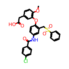 COc1ccc(CC(=O)O)cc1Oc1ccc(NC(=O)c2ccc(Cl)cc2)cc1CS(=O)(=O)c1ccccc1